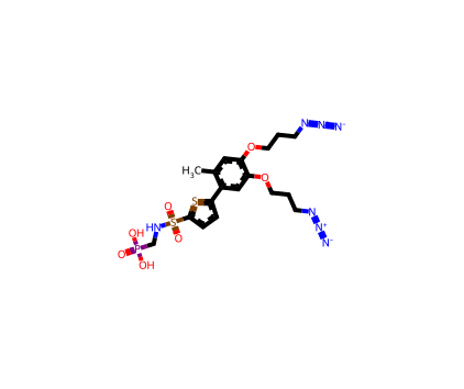 Cc1cc(OCCCN=[N+]=[N-])c(OCCCN=[N+]=[N-])cc1-c1ccc(S(=O)(=O)NCP(=O)(O)O)s1